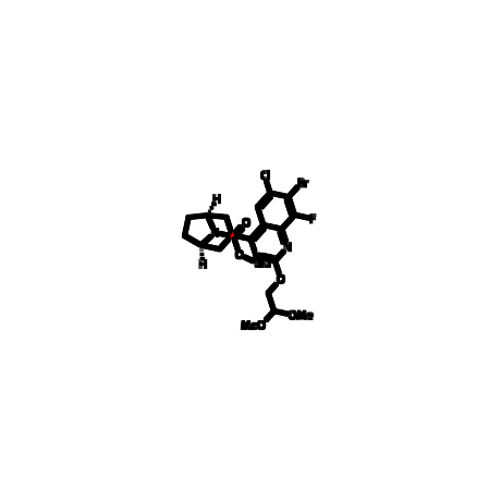 COC(COc1nc(N2C[C@H]3CC[C@@H](C2)N3C(=O)OC(C)(C)C)c2cc(Cl)c(Br)c(F)c2n1)OC